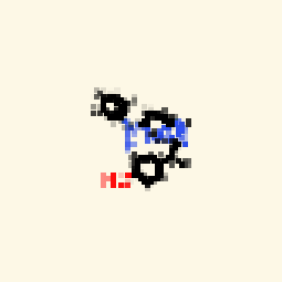 C[C@@H](c1ccc(O)cc1)c1nnc2ccc(NC3CC4CCC3C4)nn12